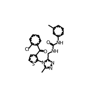 Cc1cccc(NC(=O)NCc2nnc(C)n2-c2sccc2C(=O)c2ccccc2Cl)c1